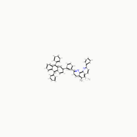 [C-]#[N+]c1c(C#N)c2ccc(-c3ccccc3)nc2c2nc(-c3cccc(-c4ccc5c(-c6ccccc6)c6ccccc6c(-c6ccccc6)c5c4)c3)ccc12